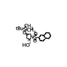 CC(C)(C)[Si](C)(C)O[C@@H]1C[C@@H](CO)N(S(=O)(=O)c2ccc3ccccc3c2)C1